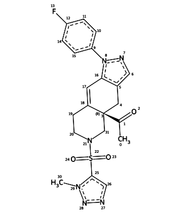 CC(=O)[C@]12Cc3cnn(-c4ccc(F)cc4)c3C=C1CCN(S(=O)(=O)c1cnnn1C)C2